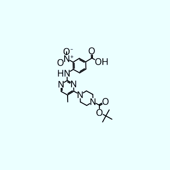 Cc1cnc(Nc2ccc(C(=O)O)cc2[N+](=O)[O-])nc1N1CCN(C(=O)OC(C)(C)C)CC1